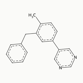 Cc1ccc(-c2cncnc2)cc1Cc1ccccc1